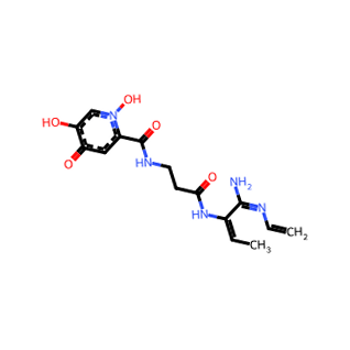 C=C/N=C(N)\C(=C/C)NC(=O)CCNC(=O)c1cc(=O)c(O)cn1O